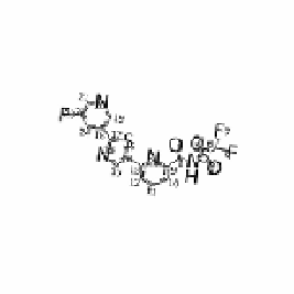 O=C(NS(=O)(=O)C(F)F)c1cccc(-c2cnc(-c3cncc(F)c3)s2)n1